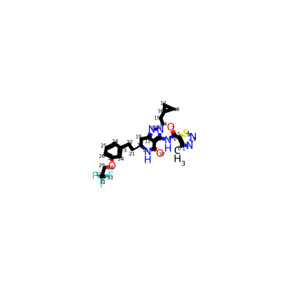 Cc1nnsc1C(=O)Nc1c2c(nn1CCC1CC1)C[C@H](CCc1cccc(OCC(F)(F)F)c1)NC2=O